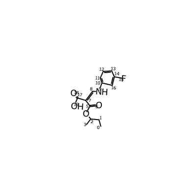 CCC(C)OC(=O)C(=CNc1cccc(F)c1)C(=O)O